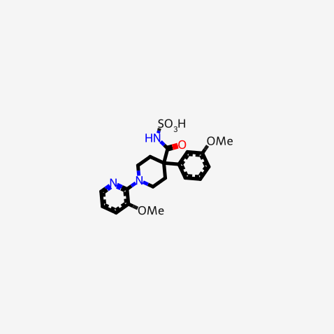 COc1cccc(C2(C(=O)NS(=O)(=O)O)CCN(c3ncccc3OC)CC2)c1